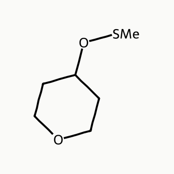 CSOC1CCOCC1